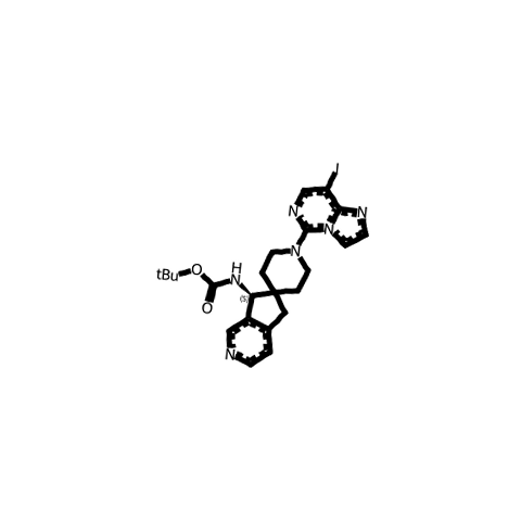 CC(C)(C)OC(=O)N[C@@H]1c2cnccc2CC12CCN(c1ncc(I)c3nccn13)CC2